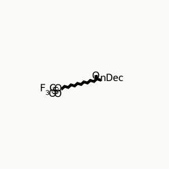 CCCCCCCCCCCC(=O)CCCCCCCCCCCOS(=O)(=O)C(F)(F)F